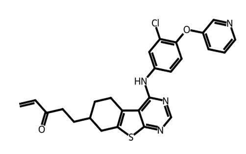 C=CC(=O)CCC1CCc2c(sc3ncnc(Nc4ccc(Oc5cccnc5)c(Cl)c4)c23)C1